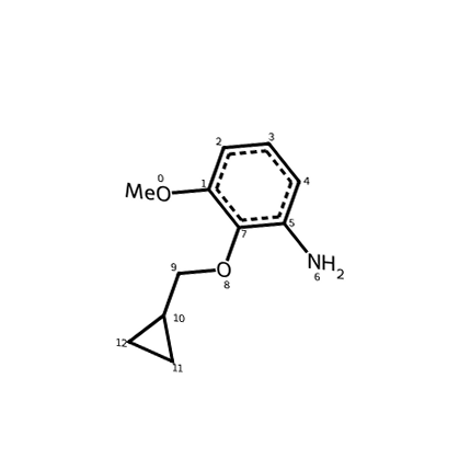 COc1cccc(N)c1OCC1CC1